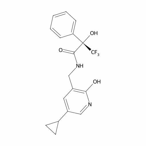 O=C(NCc1cc(C2CC2)cnc1O)[C@@](O)(c1ccccc1)C(F)(F)F